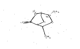 CC1C[C@@H](C)C2CC1C(=O)O2